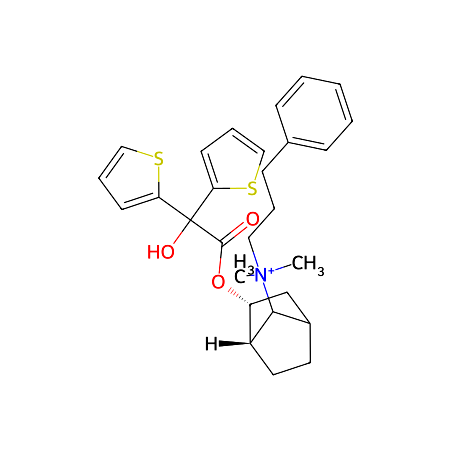 C[N+](C)(CCCc1ccccc1)C1C2CC[C@@H]1[C@H](OC(=O)C(O)(c1cccs1)c1cccs1)C2